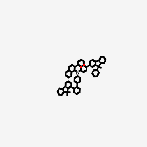 CC1(C)c2ccccc2-c2cccc(-c3ccccc3-c3ccc(N(c4ccc(-c5ccc6c(c5)C(C)(c5ccccc5)c5ccccc5-6)cc4)c4c(-c5ccccc5)ccc5ccccc45)cc3)c21